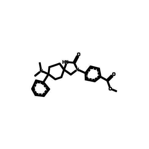 COC(=O)c1ccc(N2CC3(CCC(c4ccccc4)(N(C)C)CC3)NC2=O)cc1